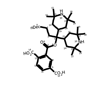 CCCCCCCCCCCCC(OC(=O)c1cc(C(=O)O)ccc1C(=O)O)(C1CC(C)(C)NC(C)(C)C1)C1CC(C)(C)NC(C)(C)C1